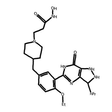 CCCC1NNc2c1nc(-c1cc(CC3CCN(CCC(=O)NO)CC3)ccc1OCC)[nH]c2=O